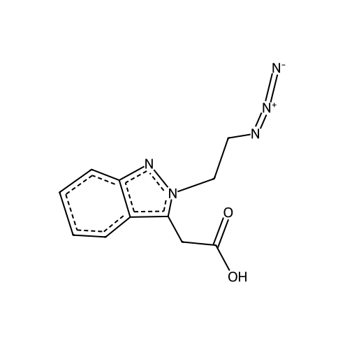 [N-]=[N+]=NCCn1nc2ccccc2c1CC(=O)O